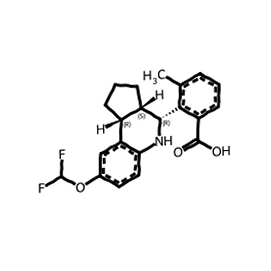 Cc1cccc(C(=O)O)c1[C@@H]1Nc2ccc(OC(F)F)cc2[C@@H]2CCC[C@@H]21